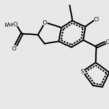 COC(=O)C1Cc2cc(C(=O)c3cccs3)c(Cl)c(C)c2O1